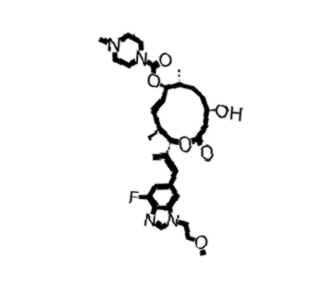 COCCn1cnc2c(F)cc(/C=C(\C)[C@H]3OC(=O)C[C@@H](O)CC[C@@H](C)[C@H](OC(=O)N4CCN(C)CC4)/C=C/[C@@H]3C)cc21